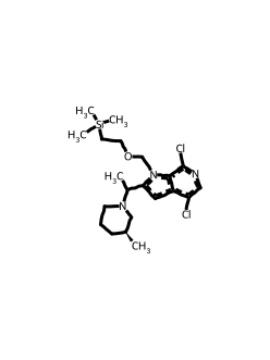 CC(c1cc2c(Cl)cnc(Cl)c2n1COCC[Si](C)(C)C)N1CCC[C@H](C)C1